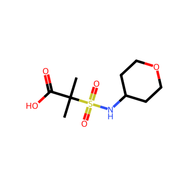 CC(C)(C(=O)O)S(=O)(=O)NC1CCOCC1